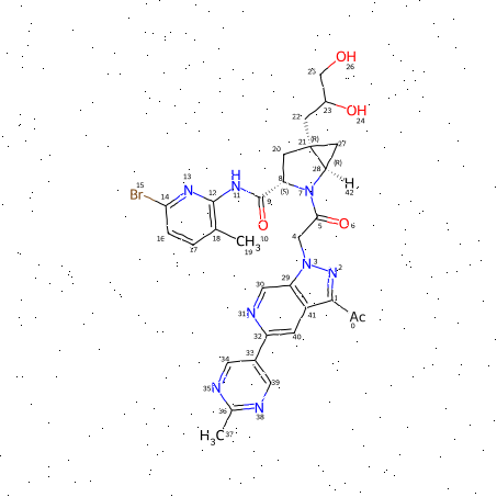 CC(=O)c1nn(CC(=O)N2[C@H](C(=O)Nc3nc(Br)ccc3C)C[C@@]3(CC(O)CO)C[C@@H]23)c2cnc(-c3cnc(C)nc3)cc12